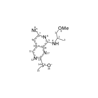 COCC(C)Nc1nc(C#N)cc2cnc([S+](C)[O-])nc12